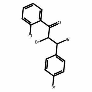 O=C(c1ccccc1Cl)C(Br)C(Br)c1ccc(Br)cc1